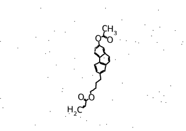 C=CC(=O)OCCCCc1ccc2c(ccc3cc(OC(C)=O)ccc32)c1